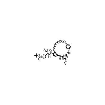 CCOc1nc2nc(n1)Nc1ccc(C(=O)NC(C(=O)OC)C3CCN(C(=O)OC(C)(C)C)C3)c(c1)OCCCCCCOc1ccc(cc1)CN2